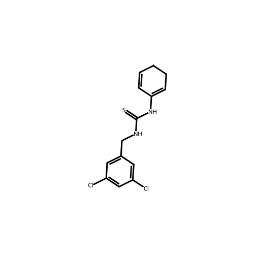 S=C(NCc1cc(Cl)cc(Cl)c1)NC1=CC[CH]C=C1